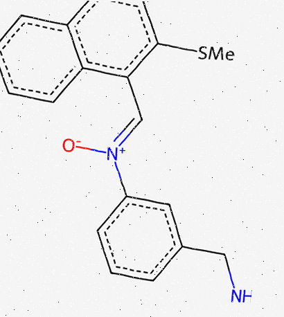 CSc1ccc2ccccc2c1C=[N+]([O-])c1cccc(CN)c1